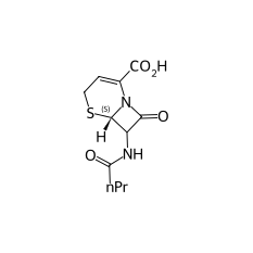 CCCC(=O)NC1C(=O)N2C(C(=O)O)=CCS[C@@H]12